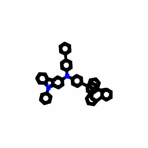 c1ccc(-c2ccc(N(c3ccc(-c4ccc5c(c4)-c4c6cccc4-c4cccc-5c4-c4ccccc4-6)cc3)c3ccc4c(c3)c3ccccc3n4-c3ccccc3)cc2)cc1